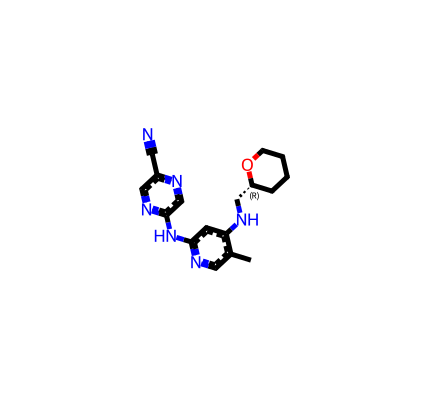 Cc1cnc(Nc2cnc(C#N)cn2)cc1NC[C@H]1CCCCO1